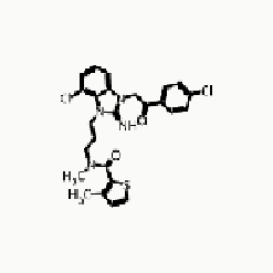 Cc1ccsc1C(=O)N(C)CCCn1c(=N)n(CC(=O)c2ccc(Cl)cc2)c2cccc(Cl)c21